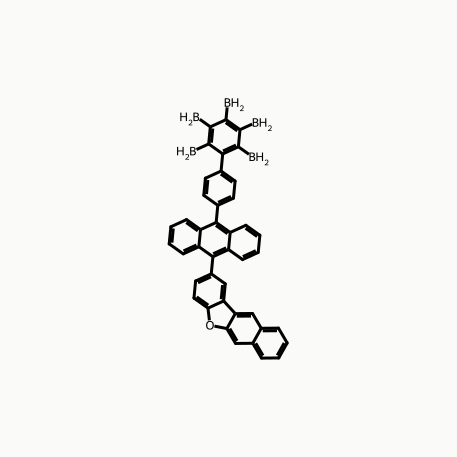 Bc1c(B)c(B)c(-c2ccc(-c3c4ccccc4c(-c4ccc5oc6cc7ccccc7cc6c5c4)c4ccccc34)cc2)c(B)c1B